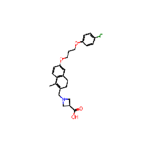 CC1=C(CN2CC(C(=O)O)C2)CCc2cc(OCCCOc3ccc(F)cc3)ccc21